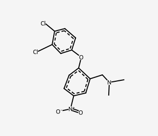 CN(C)Cc1cc([N+](=O)[O-])ccc1Oc1ccc(Cl)c(Cl)c1